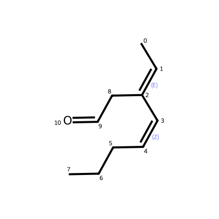 C/C=C(/C=C\CCC)CC=O